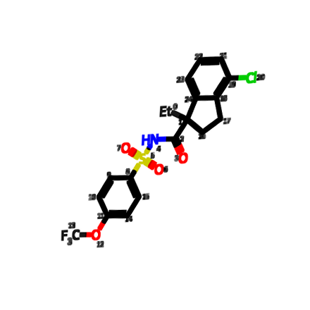 CCC1(C(=O)NS(=O)(=O)c2ccc(OC(F)(F)F)cc2)CCc2c(Cl)cccc21